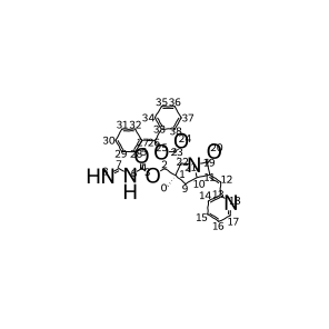 C[C@@]1(COC(=O)NC=N)CC2/C(=C\c3ccccn3)C(=O)N2[C@H]1C(=O)OC(c1ccccc1)c1ccccc1